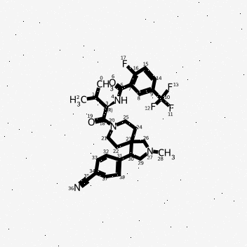 CC(C)[C@@H](NC(=O)c1cc(C(F)(F)F)ccc1F)C(=O)N1CCC2(CC1)CN(C)CC2c1ccc(C#N)cc1